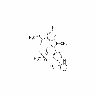 COC(=O)c1cc(F)cc2c1c(COS(C)(=O)=O)c(-c1ccc(C3(C)CCCN3)cc1)n2C